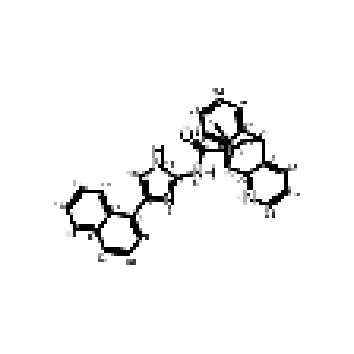 CC1(C(=O)Nc2nc(-c3cccc4ccccc34)c[nH]2)CC2c3ccccc3C1c1ncccc12